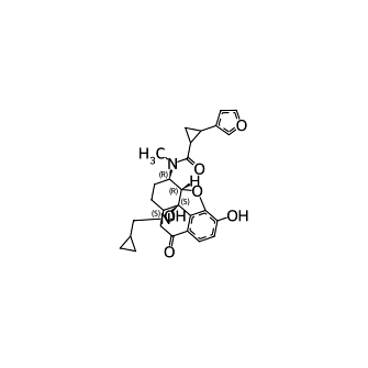 CN(C(=O)C1CC1c1ccoc1)[C@@H]1CC[C@@]2(O)C3C(=O)c4ccc(O)c5c4[C@@]2(CCN3CC2CC2)[C@H]1O5